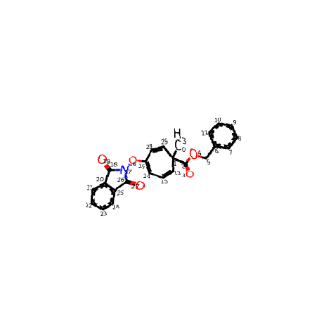 CC1(C(=O)OCc2ccccc2)C=CC=C(ON2C(=O)c3ccccc3C2=O)C=C1